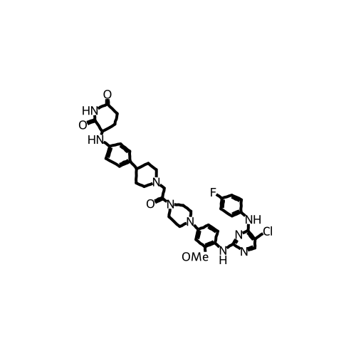 COc1cc(N2CCN(C(=O)CN3CCC(c4ccc(NC5CCC(=O)NC5=O)cc4)CC3)CC2)ccc1Nc1ncc(Cl)c(Nc2ccc(F)cc2)n1